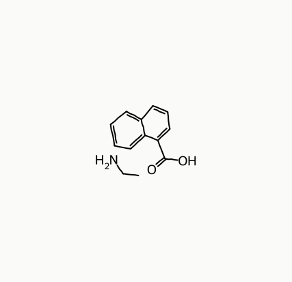 CCN.O=C(O)c1cccc2ccccc12